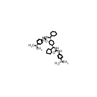 CN(C)c1ccc(NC(=O)NC(C2CCCCC2)[C@H]2CC[C@H](C(NC(=O)Nc3ccc(N(C)C)cc3)C3CCCCC3)CC2)cc1